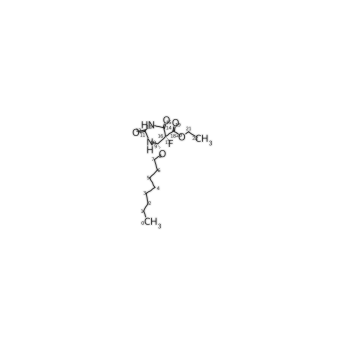 CCCCCCCCO[C@@H]1NC(=O)NC(=O)[C@@]1(F)C(=O)OCC